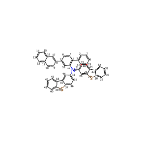 c1ccc(-c2ccc(-c3ccc4ccccc4c3)cc2N(c2ccc3c(c2)sc2ccccc23)c2ccc3sc4ccccc4c3c2)cc1